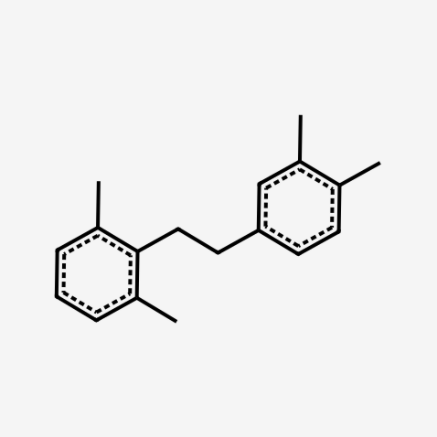 Cc1ccc(CCc2c(C)cccc2C)cc1C